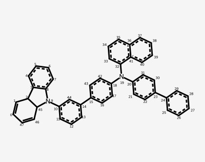 C1=CC2c3ccccc3N(c3cccc(-c4ccc(N(c5ccc(-c6ccccc6)cc5)c5cccc6ccccc56)cc4)c3)C2C=C1